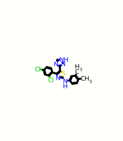 Cc1ccc(Nc2nc(-c3ccc(Cl)cc3Cl)c(-c3nc[nH]n3)s2)cc1C